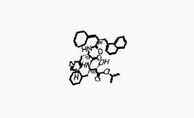 CC(C)OC(=O)[C@@H](O)[C@H](CC1CCCCC1)NC(=O)[C@H](Cc1c[nH]cn1)NC(=O)[C@@H](C=C1CCCCC1)Cc1cccc2ccccc12